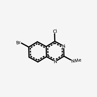 CNc1nc(Cl)c2cc(Br)ccc2n1